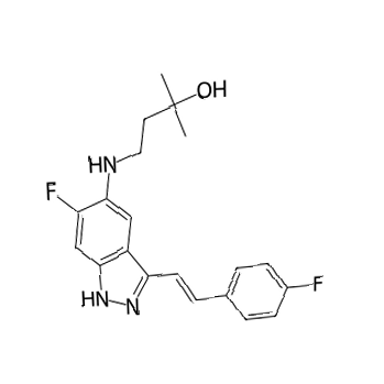 CC(C)(O)CCNc1cc2c(C=Cc3ccc(F)cc3)n[nH]c2cc1F